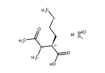 CSCC[C@@H](C(=O)O)N(C)C(C)=O.Cl.S.[Al]